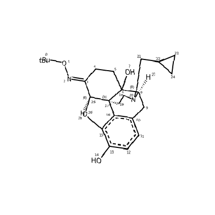 CC(C)(C)ON=C1CCC2(O)[C@H]3Cc4ccc(O)c5c4[C@@]2(CCN3CC2CC2)[C@H]1O5